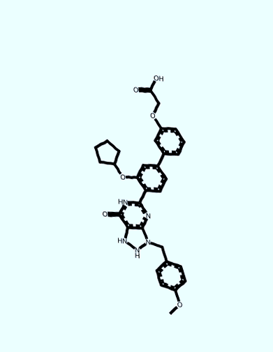 COc1ccc(CN2NNc3c2nc(-c2ccc(-c4cccc(OCC(=O)O)c4)cc2OC2CCCC2)[nH]c3=O)cc1